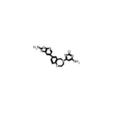 Nc1cc(N2CCOc3ccc(-c4cnc5sc(N)nc5c4)cc3C2)nc(Cl)n1